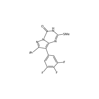 CSc1nc2c(-c3cc(F)c(F)c(F)c3)c(C(C)C)nn2c(=O)[nH]1